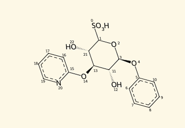 O=S(=O)(O)C1O[C@@H](Oc2ccccc2)[C@H](O)[C@@H](Oc2ccccn2)[C@@H]1O